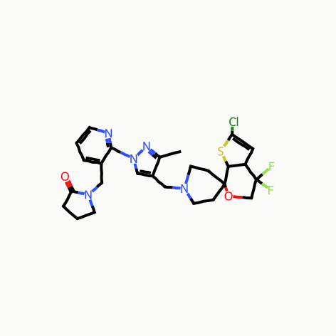 Cc1nn(-c2ncccc2CN2CCCC2=O)cc1CN1CCC2(CC1)OCC(F)(F)C1C=C(Cl)SC12